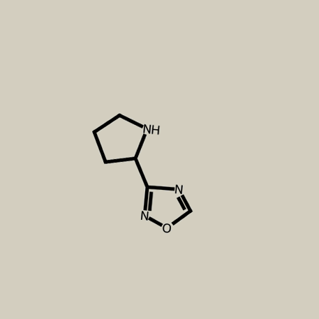 c1nc(C2CCCN2)no1